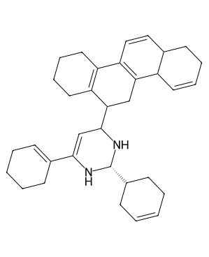 C1=CC2C3=C(C=CC2CC1)C1=C(CCCC1)C(C1C=C(C2=CCCCC2)N[C@@H](C2CC=CCC2)N1)C3